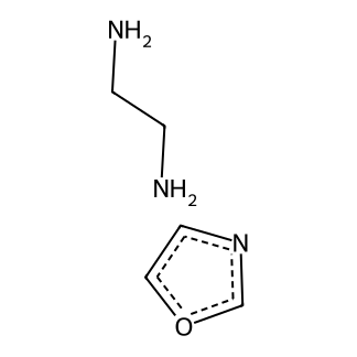 NCCN.c1cocn1